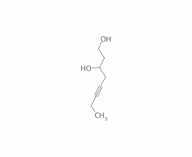 CCC#CCC(O)CCO